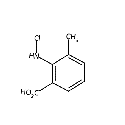 Cc1cccc(C(=O)O)c1NCl